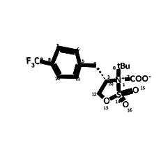 CC(C)(C)[N+]1(C(=O)[O-])[C@@H](Cc2ccc(C(F)(F)F)cc2)COS1(=O)=O